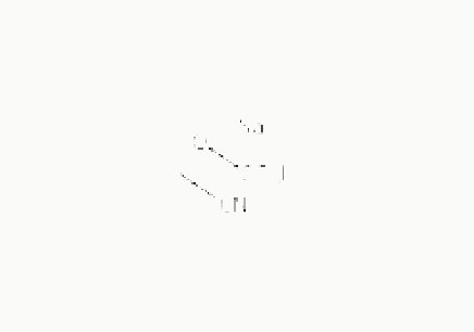 CC#N.O=C([O-])O.[Na+]